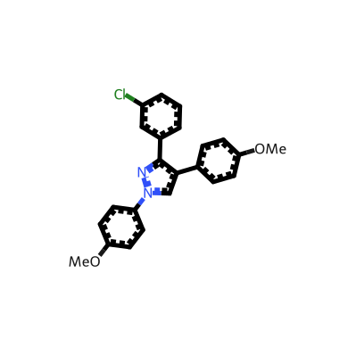 COc1ccc(-c2cn(-c3ccc(OC)cc3)nc2-c2cccc(Cl)c2)cc1